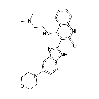 CN(C)CCNc1c(-c2nc3cc(N4CCOCC4)ccc3[nH]2)c(=O)[nH]c2ccccc12